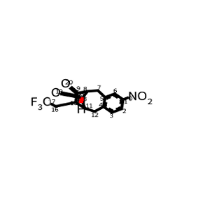 O=[N+]([O-])c1ccc2c(c1)CC1CCC(C2)C12CN(CC(F)(F)F)S(=O)(=O)N2